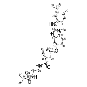 Cc1ccc(Nc2nc3cc(Oc4ccnc(C(=O)NCCNS(=O)(=O)C(C)C)c4)ccc3n2C)cc1C(C)C